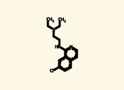 CCN(CC)CCNc1nccc2ccc(Cl)cc12